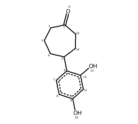 O=C1CCCC(c2ccc(O)cc2O)CC1